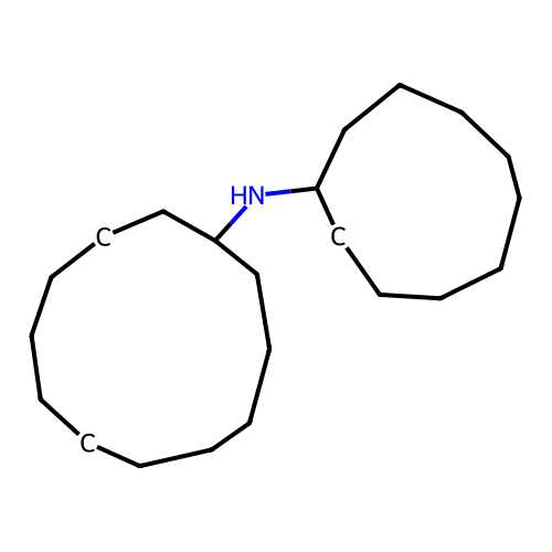 C1CCCCCC(NC2CCCCCCCCC2)CCCCC1